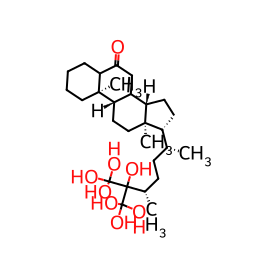 C[C@H](CC[C@H](C)C(O)(C(O)(O)O)C(O)(O)O)[C@H]1CC[C@H]2C3=CC(=O)C4CCCC[C@]4(C)[C@H]3CC[C@]12C